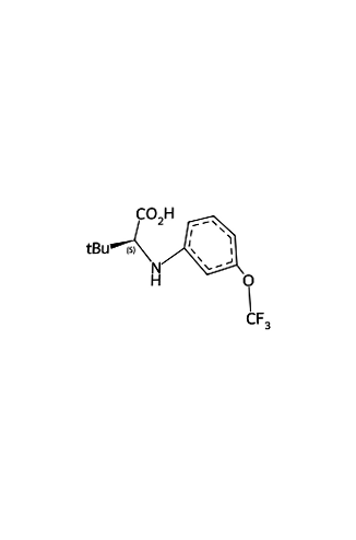 CC(C)(C)[C@H](Nc1cccc(OC(F)(F)F)c1)C(=O)O